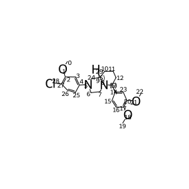 COc1cc(N2CCN3[C@@H](CCC[C@H]3c3ccc(OC)c(OC)c3)C2)ccc1Cl